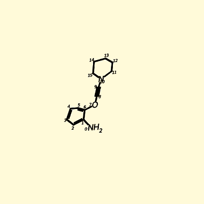 Nc1ccccc1OC#CN1CCCCC1